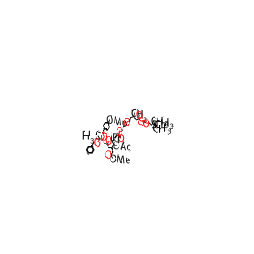 COC(=O)/C=C1\C[C@@H](C[C@@H](OCc2ccc(OC)cc2)C(C)OCc2ccccc2)O[C@@](/C=C/C(=O)OCCCOCC[C@@H](C)CC(=O)OCOCC[Si](C)(C)C)(C(C)C)[C@H]1OC(C)=O